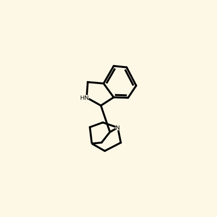 c1ccc2c(c1)CNC2[C]1CC2CCN1CC2